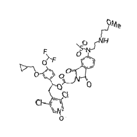 COCCNCCN(c1ccc2c(c1)C(=O)N(CC(=O)O[C@@H](Cc1c(Cl)c[n+]([O-])cc1Cl)c1ccc(OC(F)F)c(OCC3CC3)c1)C2=O)S(C)(=O)=O